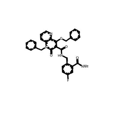 CNC(=O)c1cc(F)ccc1CNC(=O)c1c(OCc2ccccc2)c2ncccc2n(Cc2ccccc2)c1=O